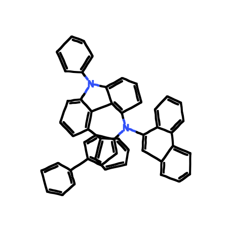 c1ccc(-c2ccc(N(c3cc4ccccc4c4ccccc34)c3cccc4c3c3c(-c5ccccc5)cccc3n4-c3ccccc3)cc2)cc1